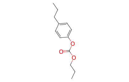 CCCOC(=O)Oc1ccc(CCC)cc1